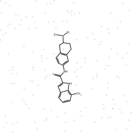 CCN(CC)C1CCc2cc(NC(=O)c3cc4cccc(C)c4[nH]3)ccc2C1